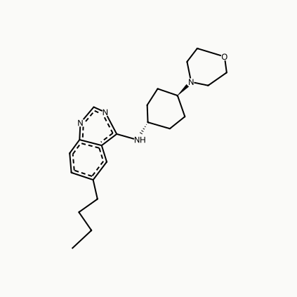 CCCCc1ccc2ncnc(N[C@H]3CC[C@H](N4CCOCC4)CC3)c2c1